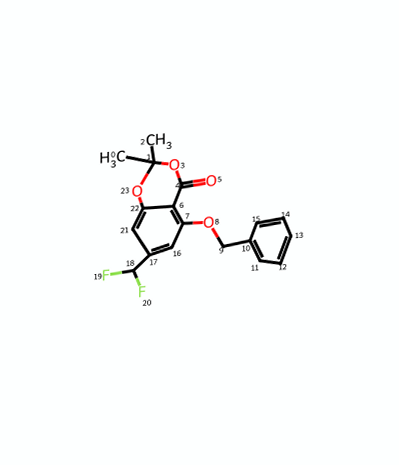 CC1(C)OC(=O)c2c(OCc3ccccc3)cc(C(F)F)cc2O1